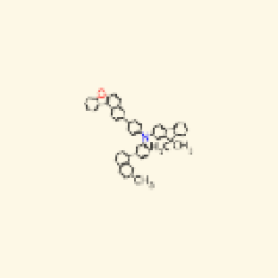 CC1C=Cc2cccc(-c3cccc(N(c4ccc(-c5ccc6c(ccc7oc8ccccc8c76)c5)cc4)c4ccc5c(c4)C(C)(C)c4ccccc4-5)c3)c2C1